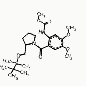 COC(=O)Nc1cc(OC)c(OC)cc1C(=O)N1CCCC1CO[Si](C)(C)C(C)(C)C